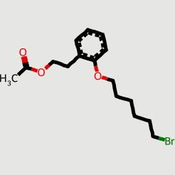 CC(=O)OCCc1ccccc1OCCCCCCBr